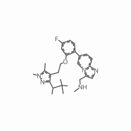 CNCc1cnc2ccc(-c3ccc(F)cc3OCCc3c(C(C)C(C)(C)C)nn(C)c3C)cn12